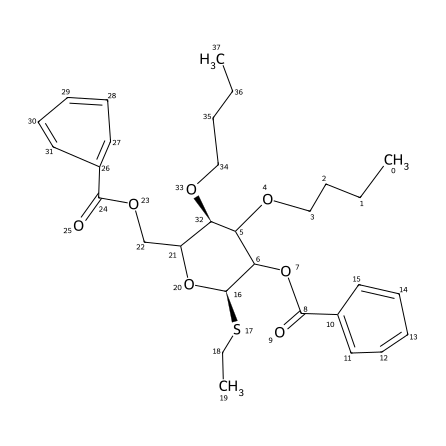 CCCCOC1C(OC(=O)c2ccccc2)[C@@H](SCC)OC(COC(=O)c2ccccc2)[C@H]1OCCCC